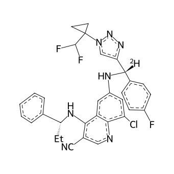 [2H][C@](Nc1cc(Cl)c2ncc(C#N)c(N[C@H](CC)c3ccccc3)c2c1)(c1ccc(F)cc1)c1cn(C2(C(F)F)CC2)nn1